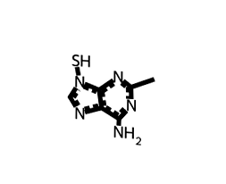 Cc1nc(N)c2ncn(S)c2n1